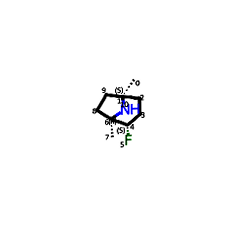 C[C@@]12CC[C@H](F)[C@@](C)(CC1)N2